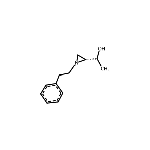 CC(O)[C@H]1CN1CCc1ccccc1